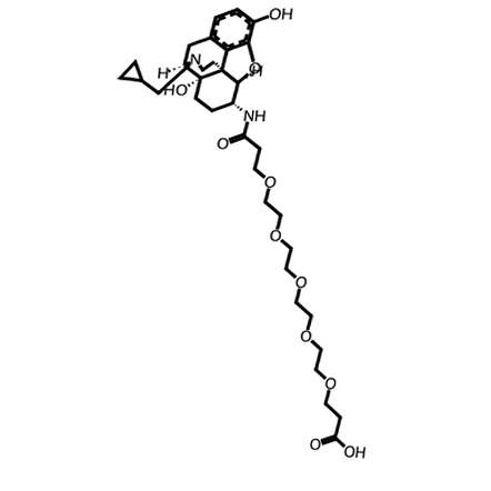 O=C(O)CCOCCOCCOCCOCCOCCC(=O)N[C@@H]1CC[C@@]2(O)[C@H]3Cc4ccc(O)c5c4[C@@]2(CCN3CC2CC2)[C@H]1O5